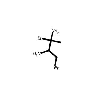 CCC(C)(N)C(N)CC(C)C